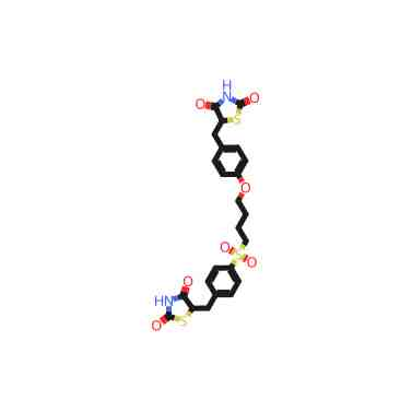 O=C1NC(=O)C(Cc2ccc(OCCCCS(=O)(=O)c3ccc(CC4SC(=O)NC4=O)cc3)cc2)S1